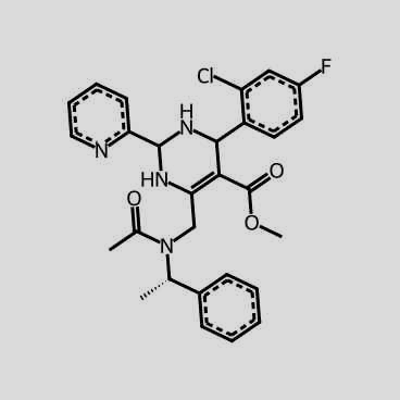 COC(=O)C1=C(CN(C(C)=O)[C@@H](C)c2ccccc2)NC(c2ccccn2)NC1c1ccc(F)cc1Cl